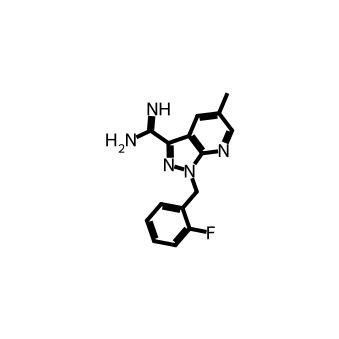 Cc1cnc2c(c1)c(C(=N)N)nn2Cc1ccccc1F